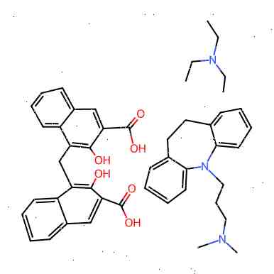 CCN(CC)CC.CN(C)CCCN1c2ccccc2CCc2ccccc21.O=C(O)c1cc2ccccc2c(Cc2c(O)c(C(=O)O)cc3ccccc23)c1O